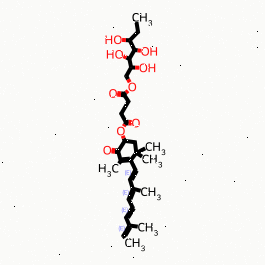 C/C=C(C)/C=C/C=C(C)/C=C/C1=C(C)C(=O)C(OC(=O)CCC(=O)OCC(O)C(O)C(O)C(O)CC)CC1(C)C